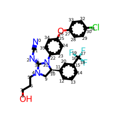 N#C/N=C1/N(CCCO)C[C@H](c2cccc(C(F)(F)F)c2)N1c1ccc(Oc2ccc(Cl)cc2)cc1